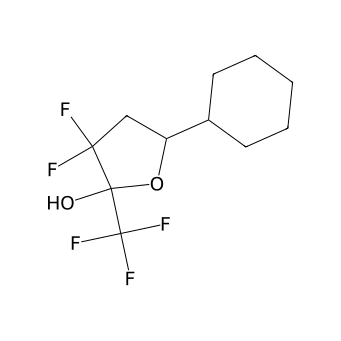 OC1(C(F)(F)F)OC(C2CCCCC2)CC1(F)F